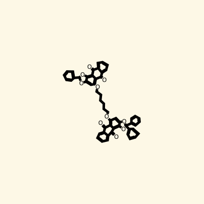 O=C1c2ccccc2C(=O)c2c3c(cc(OCCCCCCOc4cc5c(c6c4C(=O)c4ccccc4C6=O)OC(c4ccccc4)(c4ccccc4)O5)c21)OC(c1ccccc1)O3